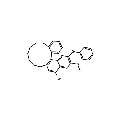 COc1cc2c(O)cc3c(c2cc1Sc1ccccc1)-c1ccccc1CCCCCCC3